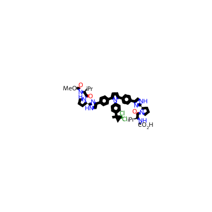 COC(=O)N[C@H](C(=O)N1CCC[C@H]1c1nc(-c2ccc(-c3ccc(-c4ccc(-c5c[nH]c([C@@H]6CCCN6C(=O)[C@@H](NC(=O)O)C(C)C)n5)cc4)n3-c3ccc(C4(C)CC4(Cl)Cl)cc3)cc2)c[nH]1)C(C)C